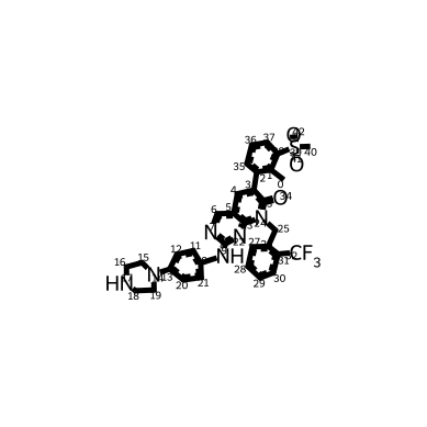 Cc1c(-c2cc3cnc(Nc4ccc(N5CCNCC5)cc4)nc3n(Cc3ccccc3C(F)(F)F)c2=O)cccc1S(C)(=O)=O